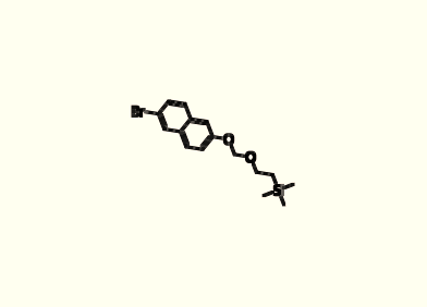 C[Si](C)(C)CCOCOc1ccc2cc(Br)ccc2c1